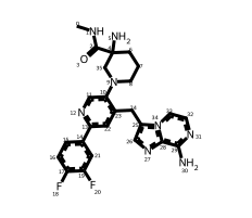 CNC(=O)C1(N)CCCN(c2cnc(-c3ccc(F)c(F)c3)cc2Cc2cnc3c(N)nccn23)C1